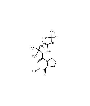 COC(=O)[C@@H]1CCCN1C(=O)[C@@H](NC(=O)NC(C)(C)C)C(C)(C)C